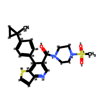 CS(=O)(=O)N1CCN(C(=O)c2cnc3ccsc3c2-c2ccc(C3(C#N)CC3)cc2)CC1